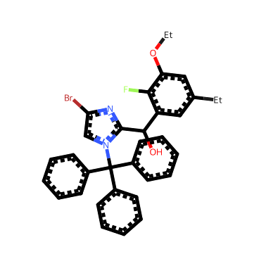 CCOc1cc(CC)cc(C(O)c2nc(Br)cn2C(c2ccccc2)(c2ccccc2)c2ccccc2)c1F